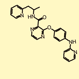 CC(Cc1ccccn1)NC(=O)c1nccnc1Oc1ccc(Nc2ccccn2)cc1